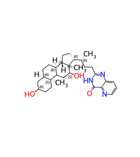 C[C@H](CCc1nc2cccnc2c(=O)[nH]1)[C@H]1CC[C@H]2[C@@H]3CC[C@@H]4C[C@H](O)CC[C@]4(C)C3C[C@H](O)[C@]12C